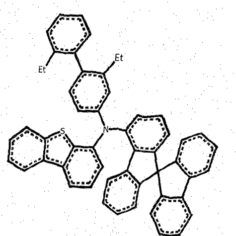 CCc1ccccc1-c1ccc(N(c2cccc3c2-c2ccccc2C32c3ccccc3-c3ccccc32)c2cccc3c2sc2ccccc23)cc1CC